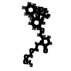 COCOCCN1C(=O)CCC1COc1ccc2c(c1)C(O)(C(F)(F)F)c1ccccc1-2